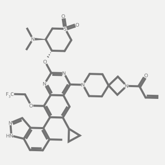 C=CC(=O)N1CC2(CCN(c3nc(O[C@H]4CCS(=O)(=O)C[C@@H]4N(C)C)nc4c(OCC(F)(F)F)c(-c5c(C)ccc6[nH]ncc56)c(C5CC5)cc34)CC2)C1